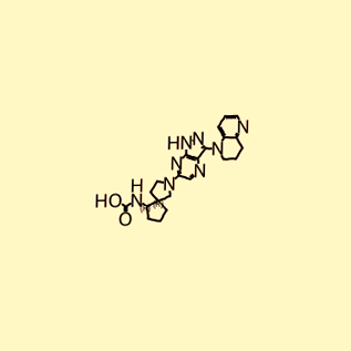 O=C(O)N[C@@H]1CCC[C@]12CCN(c1cnc3c(N4CCCc5ncccc54)n[nH]c3n1)C2